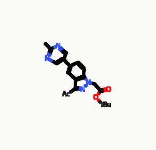 CC(=O)c1nn(CC(=O)OC(C)(C)C)c2ccc(-c3cnc(C)nc3)cc12